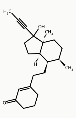 CC#CC1(O)CC[C@@H]2[C@H](CCC3=CC(=O)CCC3)[C@H](C)CC[C@@]21C